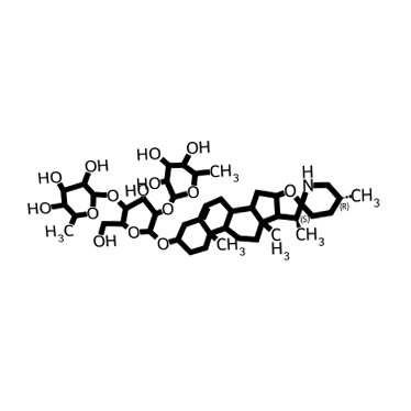 CC1OC(OC2C(CO)OC(OC3CCC4(C)C(=CCC5C4CCC4(C)C5CC5OC6(CC[C@@H](C)CN6)[C@@H](C)C54)C3)C(OC3OC(C)C(O)C(O)C3O)C2O)C(O)C(O)C1O